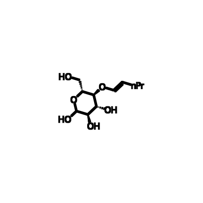 CCC/C=C/O[C@H]1[C@H](O)[C@@H](O)C(O)O[C@@H]1CO